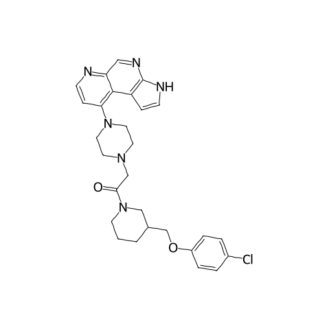 O=C(CN1CCN(c2ccnc3cnc4[nH]ccc4c23)CC1)N1CCCC(COc2ccc(Cl)cc2)C1